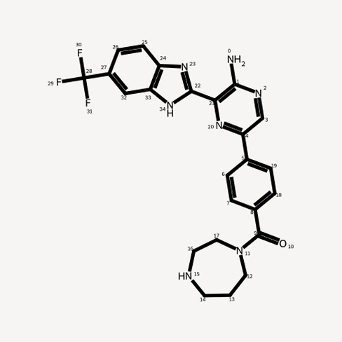 Nc1ncc(-c2ccc(C(=O)N3CCCNCC3)cc2)nc1-c1nc2ccc(C(F)(F)F)cc2[nH]1